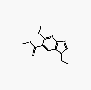 CCn1cnc2nc(OC)c(C(=O)OC)cc21